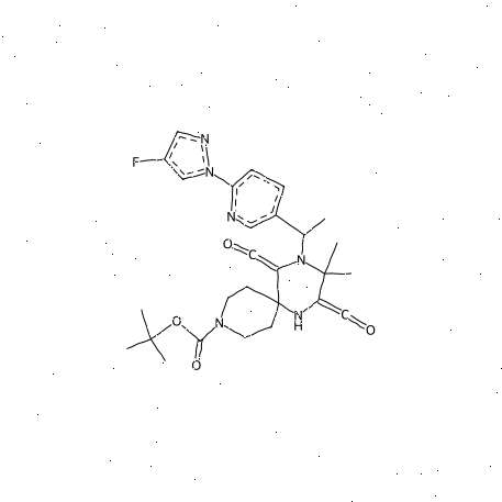 CC(c1ccc(-n2cc(F)cn2)nc1)N1C(=C=O)C2(CCN(C(=O)OC(C)(C)C)CC2)NC(=C=O)C1(C)C